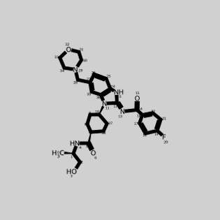 C[C@H](CO)NC(=O)[C@H]1CC[C@@H](n2/c(=N/C(=O)c3ccc(F)cc3)[nH]c3ccc(CN4CCOCC4)cc32)CC1